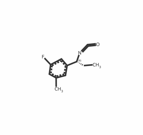 CC[C@@H](N=C=O)c1cc(C)cc(F)c1